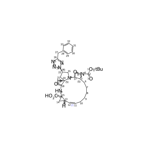 CC(C)(C)OC(=O)N[C@H]1CCCCC/C=C\[C@@H]2C[C@@]2(C(=O)O)NC(=O)[C@@H]2C[C@@H](n3nnc(Cc4ccccc4)n3)CN2C1=O